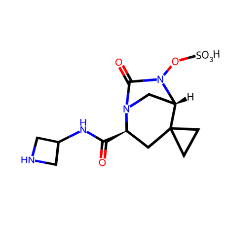 O=C(NC1CNC1)[C@@H]1CC2(CC2)[C@@H]2CN1C(=O)N2OS(=O)(=O)O